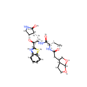 CC(C)C[C@H](NC(=O)CC1COC2OCCC12)C(=O)N[C@@H](C[C@@H]1CCNC1=O)C(=O)c1nc2ccccc2s1